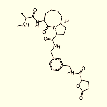 CN[C@@H](C)C(=O)N[C@H]1CCCC[C@H]2CC[C@@H](C(=O)NCc3cccc(CNC(=O)[C@@H]4CCC(=O)O4)c3)N2C1=O